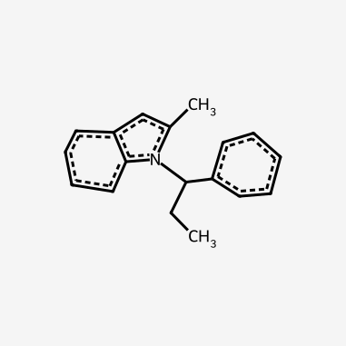 CCC(c1ccccc1)n1c(C)cc2ccccc21